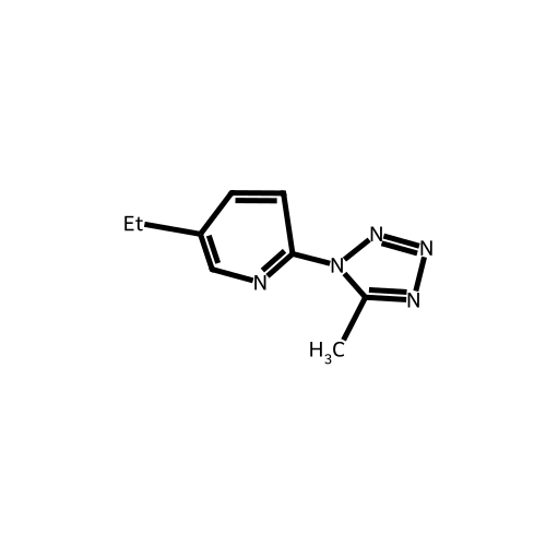 CCc1ccc(-n2nnnc2C)nc1